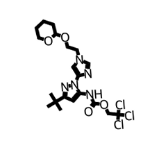 CC(C)(C)c1cc(NC(=O)OCC(Cl)(Cl)Cl)n(-c2cn(CCOC3CCCCO3)cn2)n1